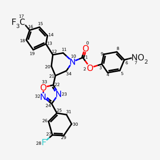 O=C(Oc1ccc([N+](=O)[O-])cc1)N1CC(c2ccc(C(F)(F)F)cc2)CC(c2nc(C3=CC(F)=CCC3)no2)C1